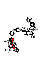 Cc1ncsc1-c1ccc([C@H](C)NC(=O)[C@@H]2C[C@@H](O)CN2C(=O)[C@@H](c2cc(N3CCC(CN4CCC(O[C@H]5C[C@H](n6cnc(CN7C8CCC7CN(c7cc(-c9ccccc9O)nnc7N)C8)c6)C5)CC4)CC3)no2)C(C)C)cc1